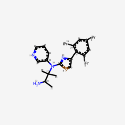 CC(C)c1cc(C(C)C)c(-c2csc(N(c3cccnc3)C(C)(C)C(C)N)n2)c(C(C)C)c1